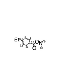 CCc1ccc(C(=O)ON(C)C)cc1